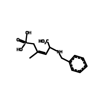 CC(=CC(NCc1ccccc1)C(=O)O)CP(=O)(O)O